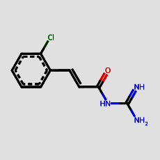 N=C(N)NC(=O)C=Cc1ccccc1Cl